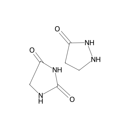 O=C1CCNN1.O=C1CNC(=O)N1